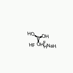 F.F.OB(O)O.[NaH]